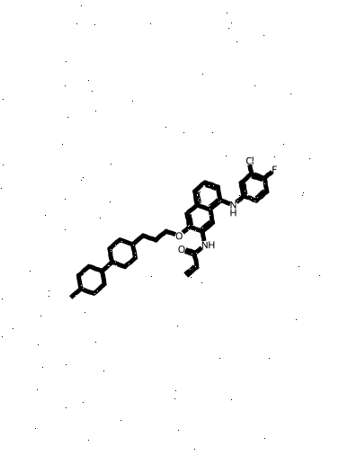 C=CC(=O)Nc1cc2c(Nc3ccc(F)c(Cl)c3)cccc2cc1OCCCC1CCC(C2CCC(C)CC2)CC1